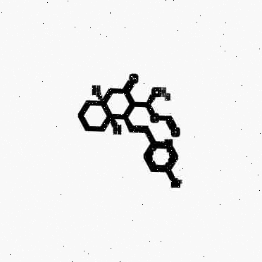 C[C@@H](OC=O)C1C(=O)C[C@@H]2CCCC[C@H]2[C@@H]1/C=C/c1ccc(Br)cn1